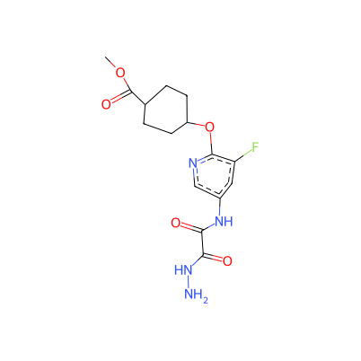 COC(=O)C1CCC(Oc2ncc(NC(=O)C(=O)NN)cc2F)CC1